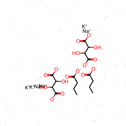 CCCC(=O)[O-].CCCC(=O)[O-].O=C([O-])C(O)C(O)C(=O)[O-].O=C([O-])C(O)C(O)C(=O)[O-].[K+].[K+].[K+].[Na+].[Na+].[Na+]